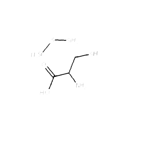 NC(CS)C(=O)O.[SiH3]S[SiH3]